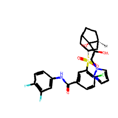 O=C(Nc1ccc(F)c(F)c1)c1ccc(Cl)c(S(=O)(=O)[C@@H]2CC3CC[C@@H](C2)[C@@]3(O)C(O)Cn2cccn2)c1